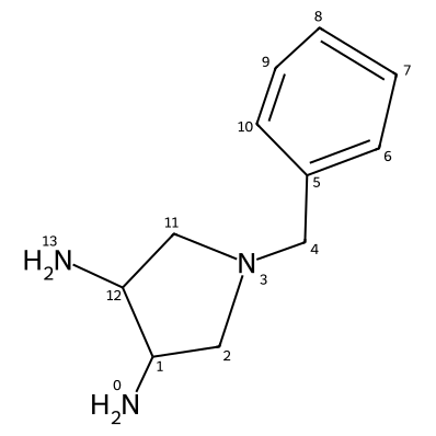 NC1CN(Cc2ccccc2)CC1N